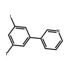 Ic1cc(I)cc(-c2cccnc2)c1